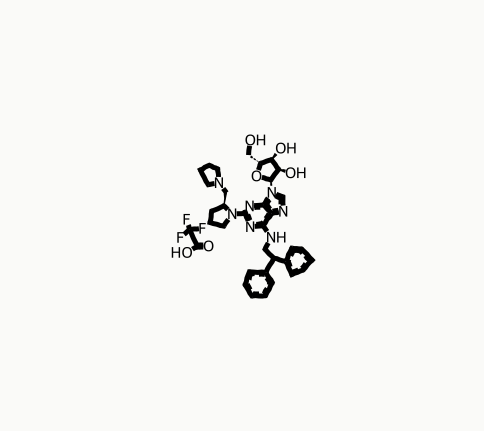 O=C(O)C(F)(F)F.OC[C@H]1O[C@@H](n2cnc3c(NCC(c4ccccc4)c4ccccc4)nc(N4CCC[C@H]4CN4CCCC4)nc32)[C@H](O)[C@@H]1O